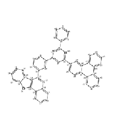 c1ccc(-c2nc(-c3cccc(-c4nc5ccccc5c5oc6ccccc6c45)c3)cc(-c3ccc4c5ccccc5c5ccccc5c4c3)n2)cc1